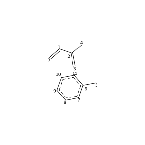 C=CC(=C)C.Cc1ccccc1